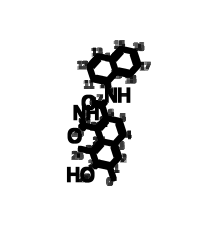 Cc1cc2ccc(C(=O)Nc3cccc4ccccc34)c(C(N)=O)c2c(C)c1O